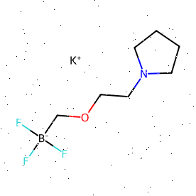 F[B-](F)(F)COCCN1CCCC1.[K+]